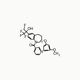 COc1cccc(O[C@H]2CCc3cc(C(O)(CF)C(F)(F)F)ccc3N(C(=O)c3cccnc3)C2)c1